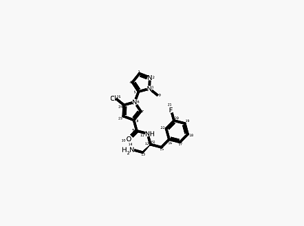 Cn1nccc1-n1cc(C(=O)N[C@H](CN)Cc2cccc(F)c2)cc1Cl